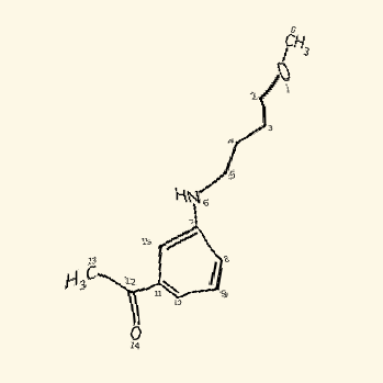 COCCCCNc1cccc(C(C)=O)c1